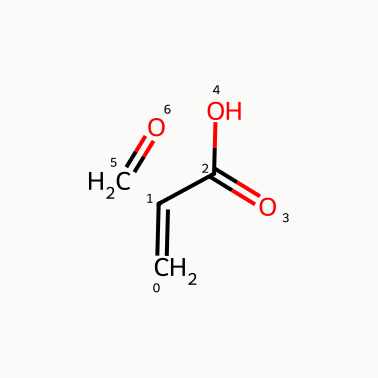 C=CC(=O)O.C=O